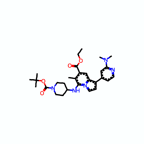 CCOC(=O)c1cc2c(-c3ccnc(N(C)C)c3)ccn2c(NC2CCN(C(=O)OC(C)(C)C)CC2)c1C